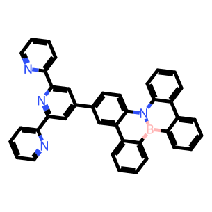 c1ccc(-c2cc(-c3ccc4c(c3)-c3ccccc3B3c5ccccc5-c5ccccc5N34)cc(-c3ccccn3)n2)nc1